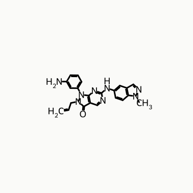 C=CCn1c(=O)c2cnc(Nc3ccc4c(cnn4C)c3)nc2n1-c1cccc(N)c1